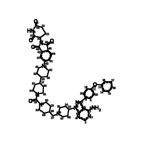 Nc1ncnc2c1c(-c1ccc(Oc3ccccc3)cc1)nn2C1CCN(CC2CCN(C(=O)N3CCC(C4CCN(c5ccc6c(c5)C(=O)N(C5CCC(=O)NC5=O)C6=O)CC4)CC3)CC2)CC1